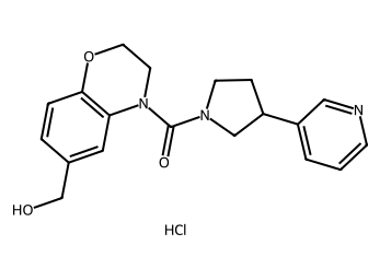 Cl.O=C(N1CCC(c2cccnc2)C1)N1CCOc2ccc(CO)cc21